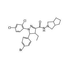 CCC1C(C(=O)NN2CC3CCCC3C2)=NN(c2ccc(Cl)cc2Cl)C1c1ccc(Br)cc1